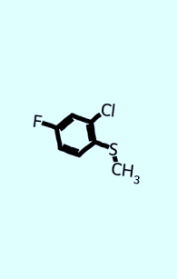 CSc1ccc(F)cc1Cl